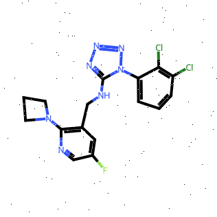 Fc1cnc(N2CCC2)c(CNc2nnnn2-c2cccc(Cl)c2Cl)c1